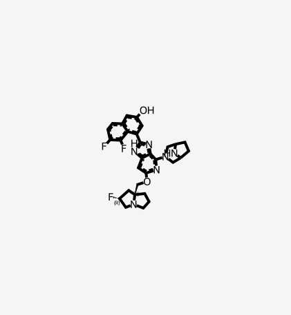 Oc1cc(-c2nc3c(N4CC5CCC(C4)N5)nc(OC[C@@]45CCCN4C[C@H](F)C5)cc3[nH]2)c2c(F)c(F)ccc2c1